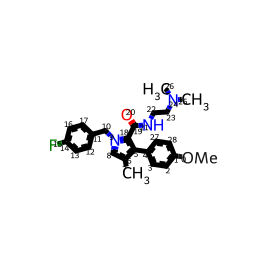 COc1ccc(-c2c(C)cn(Cc3ccc(F)cc3)c2C(=O)NCCN(C)C)cc1